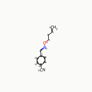 C=CCCON=[C]c1ccc(C#N)cc1